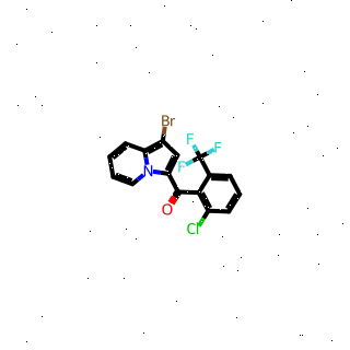 O=C(c1c(Cl)cccc1C(F)(F)F)c1cc(Br)c2ccccn12